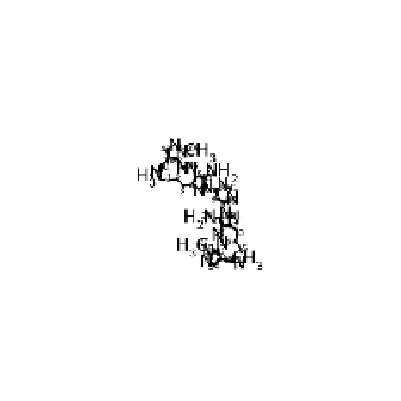 CCCCc1nn(-c2cc(-n3nc(CCCC)c(/N=N/c4c(C#N)cnn4C)c3N)ncn2)c(N)c1/N=N/c1c(C#N)cnn1C